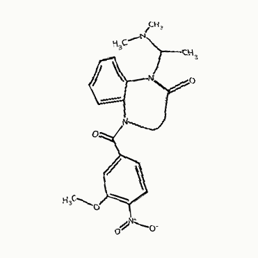 COc1cc(C(=O)N2CCC(=O)N(C(C)N(C)C)c3ccccc32)ccc1[N+](=O)[O-]